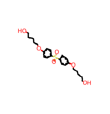 O=S(=O)(c1ccc(OCCCCCO)cc1)c1ccc(OCCCCCO)cc1